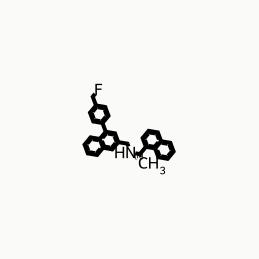 C[C@@H](NCc1cc(-c2ccc(CF)cc2)c2ccccc2c1)c1cccc2ccccc12